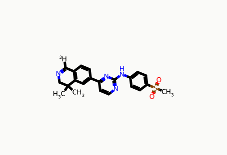 [2H]C1=NCC(C)(C)c2cc(-c3ccnc(Nc4ccc(S(C)(=O)=O)cc4)n3)ccc21